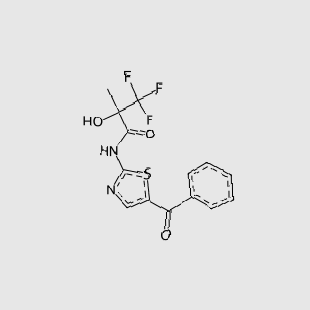 CC(O)(C(=O)Nc1ncc(C(=O)c2ccccc2)s1)C(F)(F)F